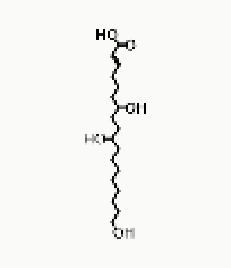 O=C(O)C=CCCCC(O)CCC(O)CCCCCCCCO